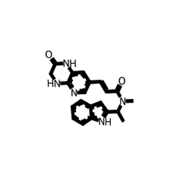 CC(c1cc2ccccc2[nH]1)N(C)C(=O)C=Cc1cnc2c(c1)NC(=O)CN2